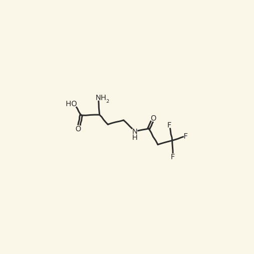 NC(CCNC(=O)CC(F)(F)F)C(=O)O